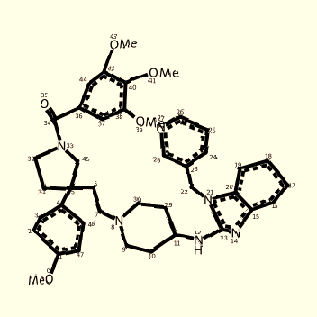 COc1ccc(C2(CCN3CCC(Nc4nc5ccccc5n4Cc4cccnc4)CC3)CCN(C(=O)c3cc(OC)c(OC)c(OC)c3)C2)cc1